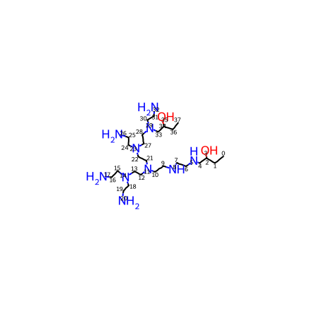 CCC(O)CNCCNCCN(CCN(CCN)CCN)CCN(CCN)CCN(CCN)CC(O)CC